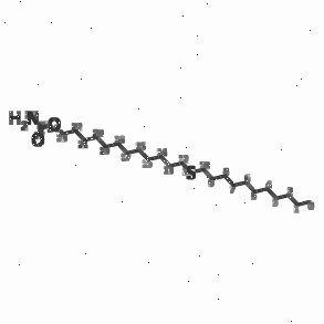 CCCCCCCCCCCSCCCCCCCCCCCCOC(N)=O